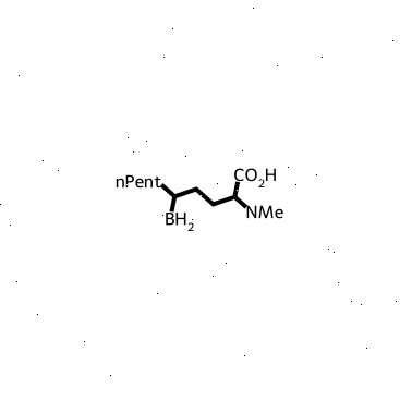 BC(CCCCC)CCC(NC)C(=O)O